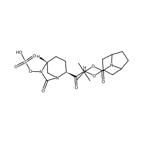 CC(C)(C)OC(=O)N1C2CCC1CC(ONC(=O)[C@@H]1CC[C@@H]3CN1C(=O)N3OS(=O)(=O)O)C2